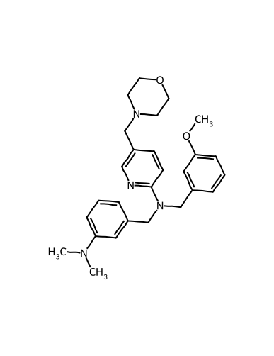 COc1cccc(CN(Cc2cccc(N(C)C)c2)c2ccc(CN3CCOCC3)cn2)c1